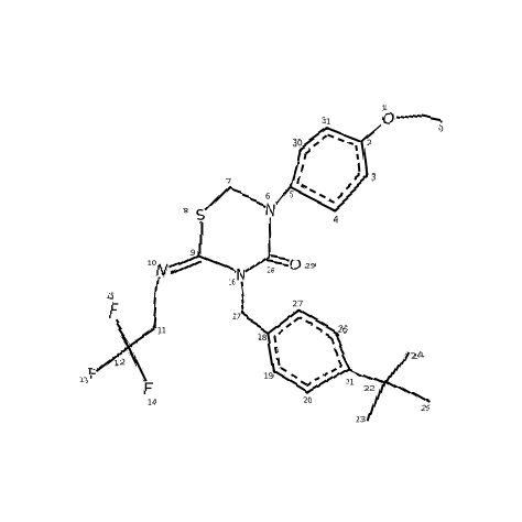 COc1ccc(N2CS/C(=N/CC(F)(F)F)N(Cc3ccc(C(C)(C)C)cc3)C2=O)cc1